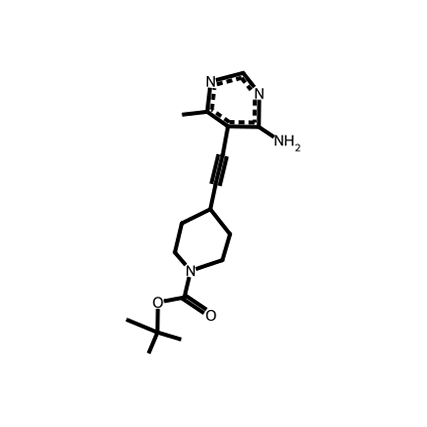 Cc1ncnc(N)c1C#CC1CCN(C(=O)OC(C)(C)C)CC1